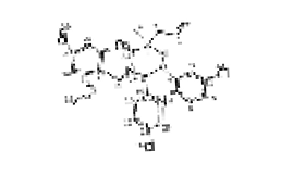 C=CC[C@@]1(C)C[C@H](c2cccc(Cl)c2)[C@@H](c2ccc(Cl)cn2)N(Cc2ccc(OC)cc2OC)C1=O